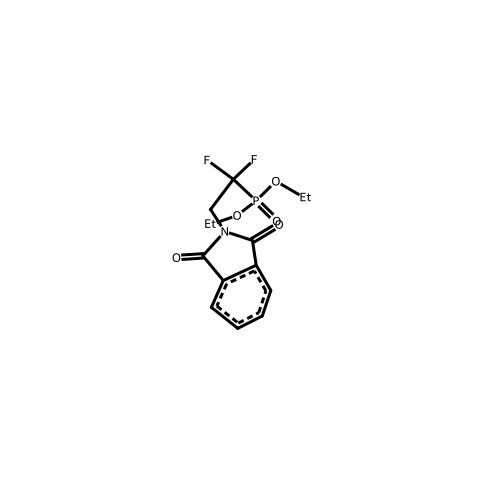 CCOP(=O)(OCC)C(F)(F)CN1C(=O)c2ccccc2C1=O